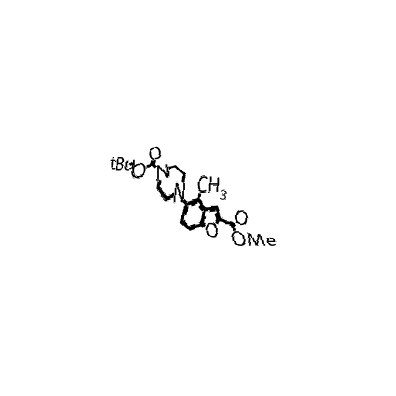 COC(=O)c1cc2c(C)c(N3CCN(C(=O)OC(C)(C)C)CC3)ccc2o1